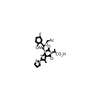 COc1ccc(F)cc1[C@H](Cn1c(=O)n(C(C)C(=O)O)c(=O)c2c(C)c(-n3cccn3)sc21)OCC(C)=O